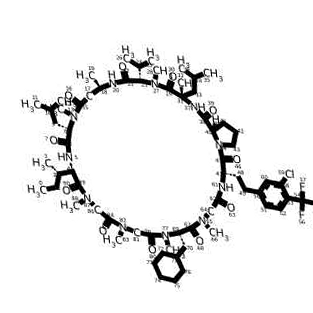 CC[C@H](C)[C@@H]1NC(=O)[C@H](CC(C)C)N(C)C(=O)C[C@@H](C)NC(=O)[C@H](C(C)C)N(C)C(=O)[C@](C)(CC(C)C)NC(=O)[C@@H]2CCCN2C(=O)[C@H](CCc2ccc(C(F)(F)F)c(Cl)c2)NC(=O)CN(C)C(=O)[C@H](CC2CCCCC2)N(C)C(=O)CN(C)C(=O)CN(C)C1=O